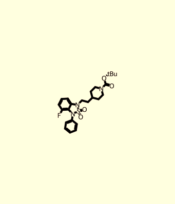 CC(C)(C)OC(=O)N1CCC(CCN2c3cccc(F)c3N(c3ccccc3)S2(=O)=O)CC1